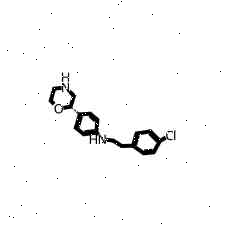 Clc1ccc(CCNc2ccc([C@H]3CNCCO3)cc2)cc1